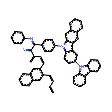 C=C/C=C\c1cc2ccccc2cc1/C=C\C(=C)C(=N)/C(=N\c1ccccc1)c1ccc(-n2c3ccc(-n4c5ccccc5c5ccccc54)cc3c3cc4ccccc4cc32)cc1